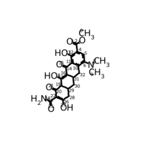 COC(=O)c1cc(N(C)C)c2c(c1O)C(=O)C1=C(O)C3C(=O)C(C(N)=O)=C(O)CC3CC1C2